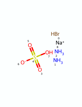 Br.N.N.O=S(=O)([O-])O.[Na+]